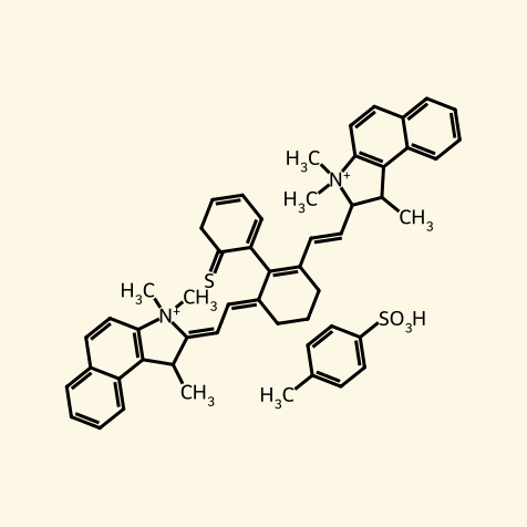 CC1C(=CC=C2CCCC(C=CC3C(C)c4c(ccc5ccccc45)[N+]3(C)C)=C2C2=CC=CCC2=S)[N+](C)(C)c2ccc3ccccc3c21.Cc1ccc(S(=O)(=O)O)cc1